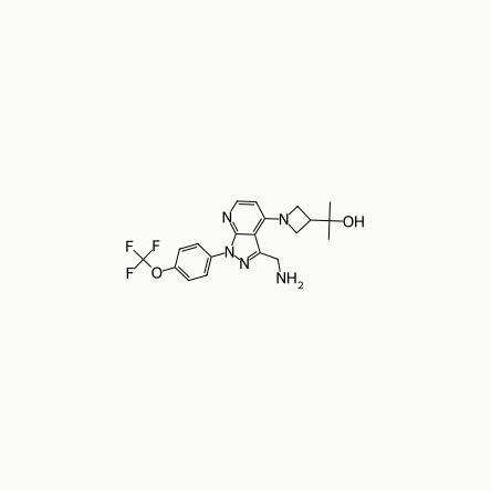 CC(C)(O)C1CN(c2ccnc3c2c(CN)nn3-c2ccc(OC(F)(F)F)cc2)C1